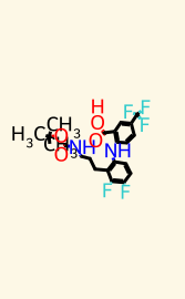 CC(C)(C)OC(=O)NCCCc1c(Nc2ccc(C(F)(F)F)cc2C(=O)O)ccc(F)c1F